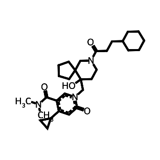 CN(C)C(=O)c1cn(CC2(O)CCN(C(=O)CCC3CCCCC3)CC23CCCC3)c(=O)cc1C1CC1